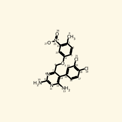 Cc1ccc(OCc2nc(N)nc(N)c2-c2ccc(Cl)c(Cl)c2)cc1[N+](=O)[O-]